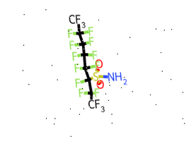 NS(=O)(=O)C(F)(C(F)(F)C(F)(F)F)C(F)(F)C(F)(F)C(F)(F)C(F)(F)C(F)(F)F